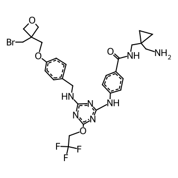 NCC1(CNC(=O)c2ccc(Nc3nc(NCc4ccc(OCC5(CBr)COC5)cc4)nc(OCC(F)(F)F)n3)cc2)CC1